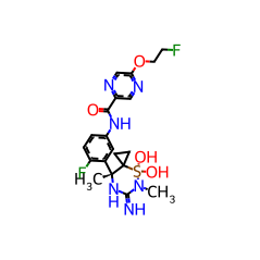 CN1C(=N)N[C@](C)(c2cc(NC(=O)c3cnc(OCCF)cn3)ccc2F)C2(CC2)S1(O)O